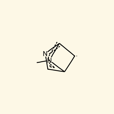 Cn1c2cnc1[CH]2